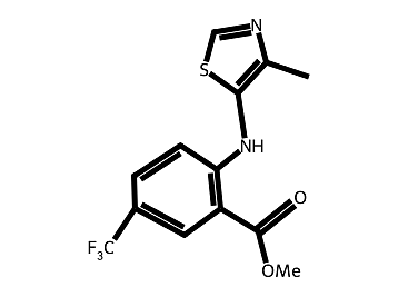 COC(=O)c1cc(C(F)(F)F)ccc1Nc1scnc1C